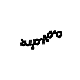 Cc1ncc(CNC(=O)c2ccc(CNS(=O)(=O)c3ccc(Oc4ccccc4)nc3)cn2)s1